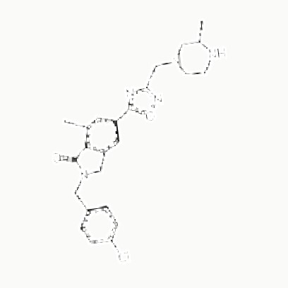 Cc1cc(-c2nc(CN3CCNC(C)C3)no2)cc2c1C(=O)N(Cc1ccc(Cl)cc1)C2